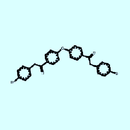 O=C(Cc1ccc(Br)cc1)c1ccc(Oc2ccc(C(=O)Cc3ccc(Br)cc3)cc2)cc1